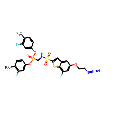 [N-]=[N+]=NCCOc1cc(F)c2sc(S(=O)(=O)NCP(=O)(Oc3ccc(C(F)(F)F)c(F)c3)Oc3ccc(C(F)(F)F)c(F)c3)cc2c1